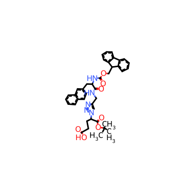 CC(C)(C)OC(=O)C(CCC(=O)O)n1cc(CNC(=O)C(Cc2ccc3ccccc3c2)NC(=O)OCC2c3ccccc3-c3ccccc32)nn1